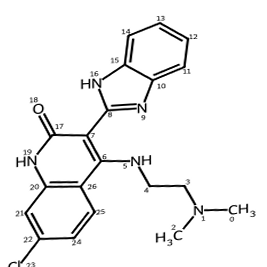 CN(C)CCNc1c(-c2nc3ccccc3[nH]2)c(=O)[nH]c2cc(Cl)ccc12